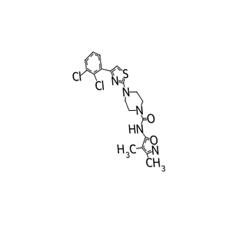 Cc1noc(NC(=O)N2CCN(c3nc(-c4cccc(Cl)c4Cl)cs3)CC2)c1C